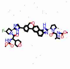 COC(=O)NC(C(=O)N1C[C@@H](F)C[C@H]1c1ncc(-c2ccc3c(c2)COc2cc4c(ccc5nc([C@@H]6CC[C@H](C)N6C(=O)[C@@H](NC(=O)OC)C(C)C)[nH]c54)cc2-3)[nH]1)C1CCOCC1